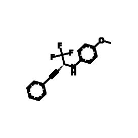 COc1ccc(N[C@H](C#Cc2ccccc2)C(F)(F)F)cc1